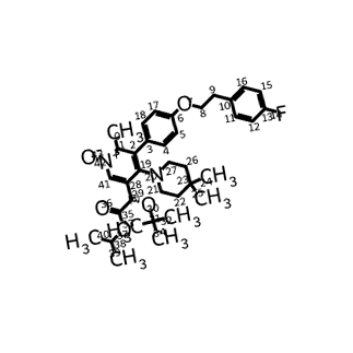 Cc1c(-c2ccc(OCCc3ccc(F)cc3)cc2)c(N2CCC(C)(C)CC2)c([C@H](OC(C)(C)C)C(=O)OC(C)C)c[n+]1[O-]